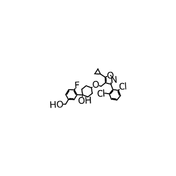 OCc1ccc(F)c([C@]2(O)CC[C@H](OCc3c(-c4c(Cl)cccc4Cl)noc3C3CC3)CC2)c1